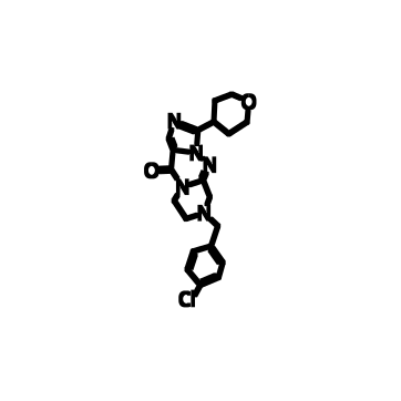 O=c1c2cnc(C3CCOCC3)n2nc2n1CCN(Cc1ccc(Cl)cc1)C2